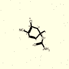 CC1(OC(N)=O)C=CC(C#N)=C(Cl)C1